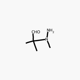 CN(N)C(C)(C)C=O